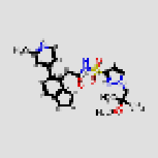 COC(C)(C)Cn1ccc(S(=O)(=O)NC(=O)Cc2c(-c3ccnc(C)c3)ccc3c2CCC3)n1